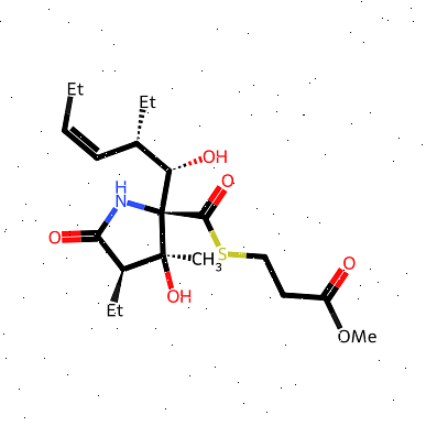 CC/C=C\[C@H](CC)[C@H](O)[C@@]1(C(=O)SCCC(=O)OC)NC(=O)[C@H](CC)[C@]1(C)O